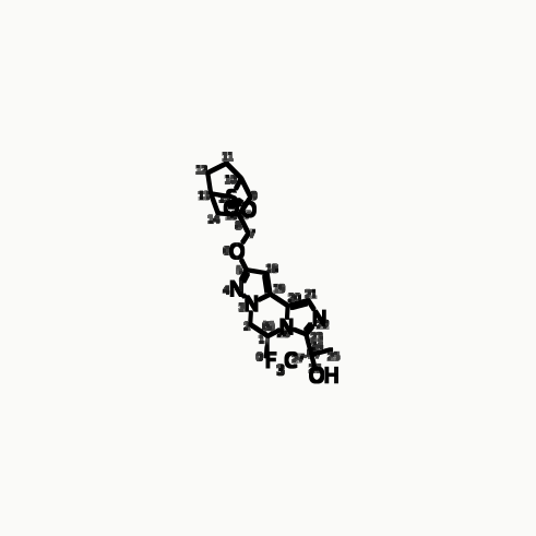 C[C@H]1Cn2nc(OCC3CC4CCC(C3)S4(=O)=O)cc2-c2cnc([C@@](C)(O)C(F)(F)F)n21